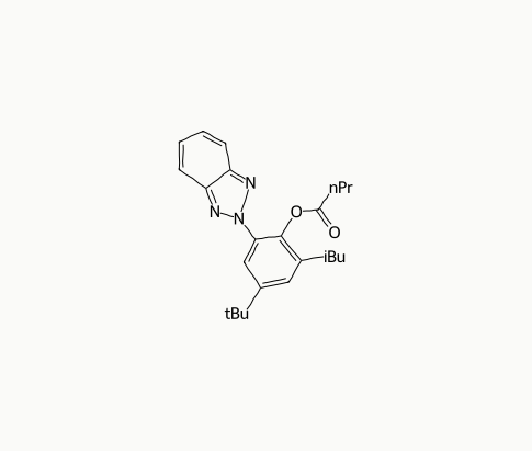 CCCC(=O)Oc1c(C(C)CC)cc(C(C)(C)C)cc1-n1nc2ccccc2n1